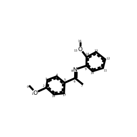 COc1ccc(C(C)=Nc2ccccc2OC)cc1